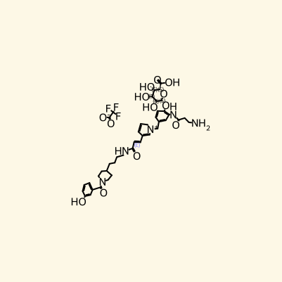 NCCC(=O)Nc1cc(C[n+]2cccc(/C=C/C(=O)NCCCCC3CCN(C(=O)c4cccc(O)c4)CC3)c2)ccc1O[C@@H]1O[C@H](C(=O)O)[C@@H](O)[C@H](O)[C@H]1O.O=C([O-])C(F)(F)F